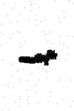 CN1CC(Oc2ccc(-c3ncnc(Nc4ccc(N5CCN(C6COC6)CC5)cc4)n3)cc2C#N)NC1=O